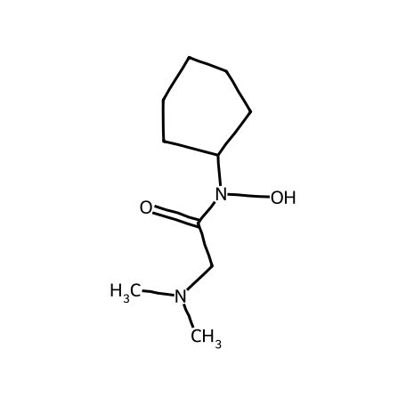 CN(C)CC(=O)N(O)C1CCCCC1